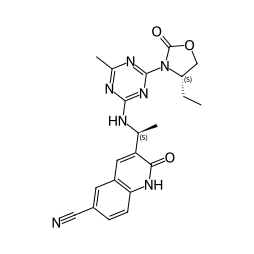 CC[C@H]1COC(=O)N1c1nc(C)nc(N[C@@H](C)c2cc3cc(C#N)ccc3[nH]c2=O)n1